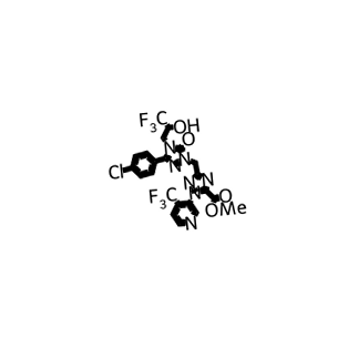 COC(=O)c1nc(Cn2nc(-c3ccc(Cl)cc3)n(CC(O)C(F)(F)F)c2=O)nn1-c1cnccc1C(F)(F)F